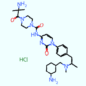 CC(Cc1ccc(-n2ccc(NC(=O)N3CCN(C(=O)C(C)(C)N)CC3)nc2=O)cc1)N(C)CC1CCCC(N)C1.Cl